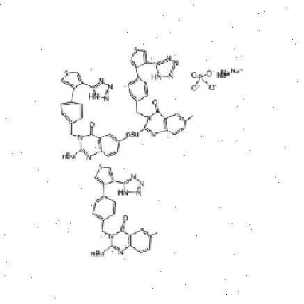 CCCCc1nc2ccc(C)cc2c(=O)n1Cc1ccc(-c2cscc2-c2nnn[nH]2)cc1.CCCCc1nc2ccc(C)cc2c(=O)n1Cc1ccc(-c2cscc2-c2nnn[nH]2)cc1.CCCCc1nc2ccc(C)cc2c(=O)n1Cc1ccc(-c2cscc2-c2nnn[nH]2)cc1.O=P([O-])([O-])[O-].[Na+].[Na+].[Na+]